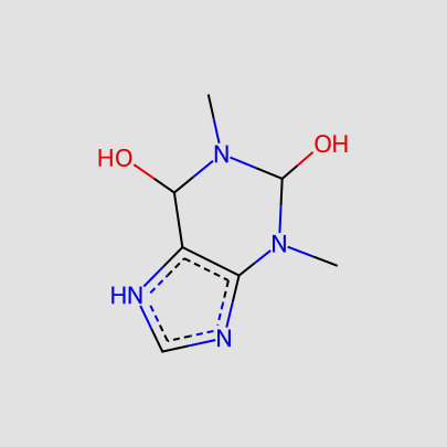 CN1c2nc[nH]c2C(O)N(C)C1O